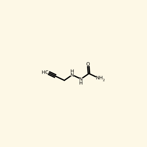 C#CCNNC(N)=O